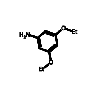 CCOc1cc(N)cc(OCC)c1